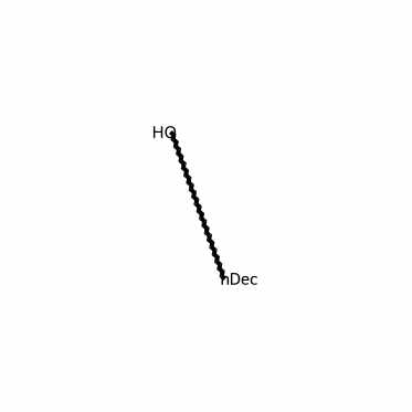 CCCCCCCCCCCCCCCCCCCCCCCCCCCCCCCCCCCCCCCCCCCCCCCCCCO